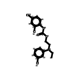 CCN(CCOC(=O)Oc1ccc(Cl)cc1Cl)c1cccc(Cl)c1